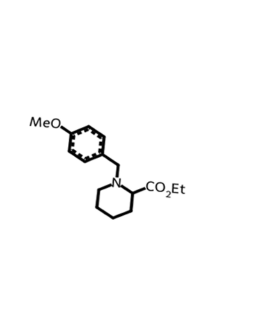 CCOC(=O)C1CCCCN1Cc1ccc(OC)cc1